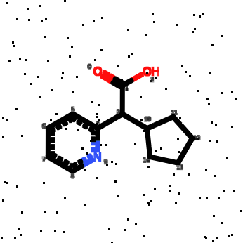 O=C(O)C(c1ccccn1)C1CCCC1